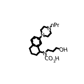 CCCN1CCN(c2ccc3c(c2)C(N(CCCO)C(=O)O)CCC3)CC1